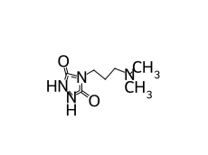 CN(C)CCCn1c(=O)[nH][nH]c1=O